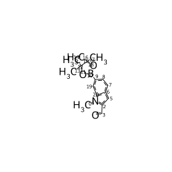 Cn1c(C=O)cc2ccc(B3OC(C)(C)C(C)(C)O3)cc21